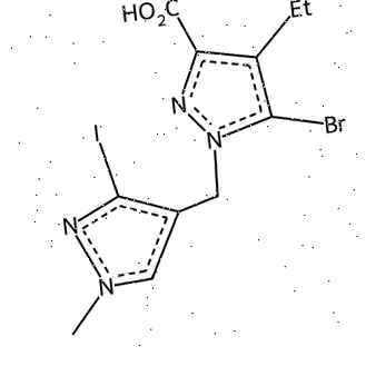 CCc1c(C(=O)O)nn(Cc2cn(C)nc2I)c1Br